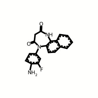 Nc1ccc(N2C(=O)CC(=O)Nc3c2ccc2ccccc32)cc1F